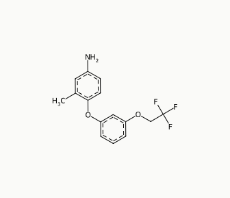 Cc1cc(N)ccc1Oc1cccc(OCC(F)(F)F)c1